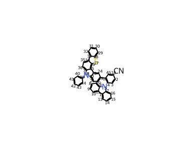 N#Cc1ccc(-n2c3ccccc3c3ccccc32)c(-c2ccc3c(c2)c2c4sc5ccccc5c4ccc2n3-c2ccccc2)c1